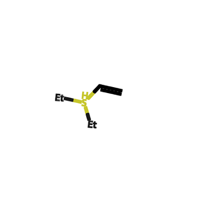 C=C[SH](CC)CC